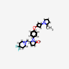 CC1CCCN1C1CC(Oc2ccc(N3C(=O)CC[C@H]3CN3CCC(F)(F)CC3)cc2)C1